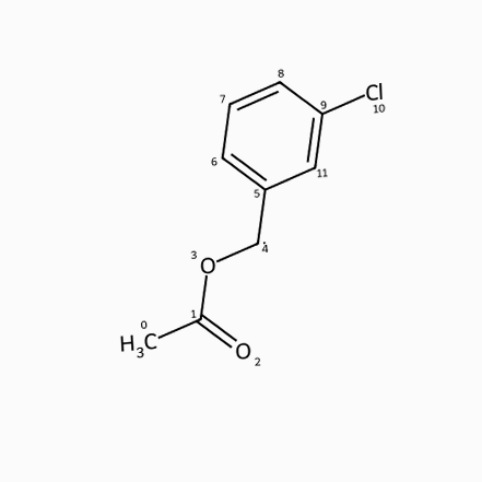 CC(=O)O[CH]c1cccc(Cl)c1